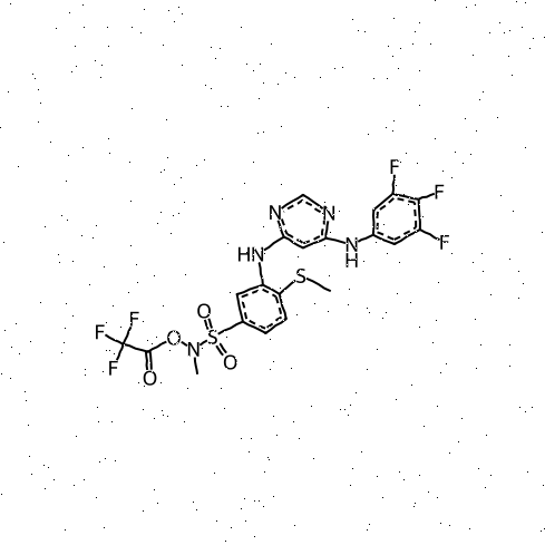 CSc1ccc(S(=O)(=O)N(C)OC(=O)C(F)(F)F)cc1Nc1cc(Nc2cc(F)c(F)c(F)c2)ncn1